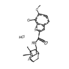 COc1ccc2cc(C(=O)NC3C4CCN(CC4)C3(C)C)sc2c1Cl.Cl